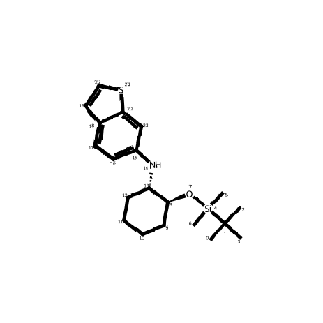 CC(C)(C)[Si](C)(C)O[C@H]1CCCC[C@@H]1Nc1ccc2ccsc2c1